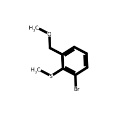 COCc1cccc(Br)c1SC